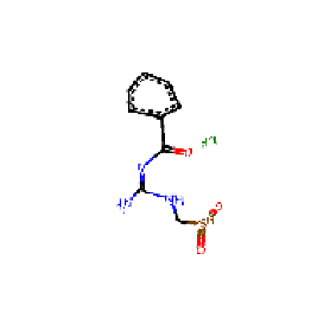 Cl.NC(=NC(=O)c1ccccc1)NC[SH](=O)=O